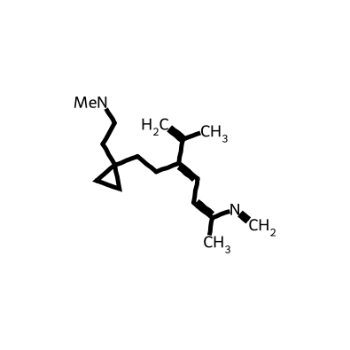 C=N/C(C)=C\C=C(/CCC1(CCNC)CC1)C(=C)C